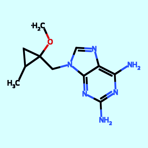 [CH2]OC1(Cn2cnc3c(N)nc(N)nc32)CC1C